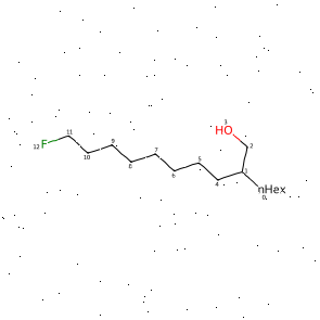 CCCCCCC(CO)CCCCCCCCF